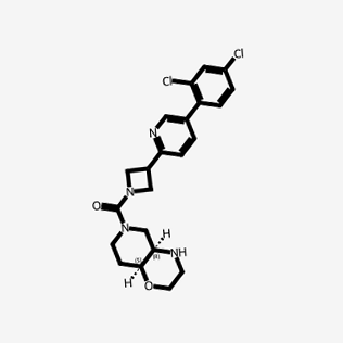 O=C(N1CC(c2ccc(-c3ccc(Cl)cc3Cl)cn2)C1)N1CC[C@@H]2OCCN[C@@H]2C1